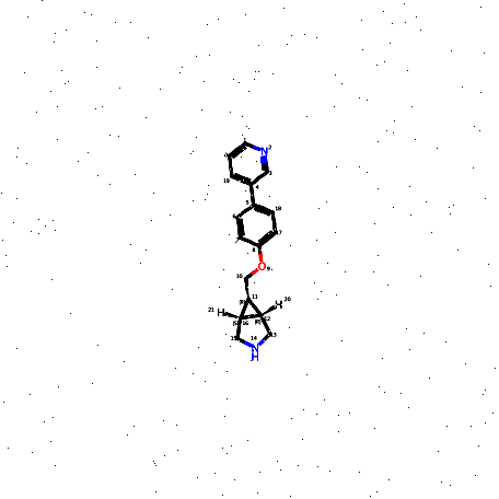 c1cncc(-c2ccc(OC[C@H]3[C@@H]4CNC[C@@H]43)cc2)c1